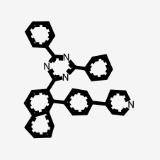 c1ccc(-c2nc(-c3ccccc3)nc(-c3ccc4ccccc4c3-c3ccc(-c4ccncc4)cc3)n2)cc1